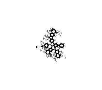 CC(C)(C)c1ccc(N2B3c4cc5c(cc4N(c4ccc6c(c4)C(C)(C)CCC6(C)C)c4c3c(cc3c4oc4ccccc43)-c3cc4c(cc32)C(C)(C)c2cc3c(cc2-4)C(C)(C)CCC3(C)C)C(C)(C)CCC5(C)C)cc1